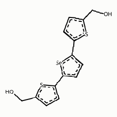 OCc1ccc(-c2ccc(-c3ccc(CO)s3)[se]2)s1